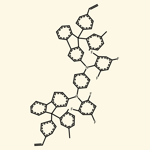 C=Cc1ccc(C2(c3cc(C)ccc3C)c3ccccc3-c3ccc(N(c4ccc(N(c5ccc6c(c5)C(c5ccc(C=C)cc5)(c5cc(C)ccc5C)c5ccccc5-6)c5c(F)cc(F)cc5F)cc4)c4c(F)cc(F)cc4F)cc32)cc1